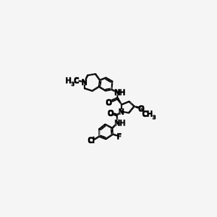 CO[C@@H]1C[C@H](C(=O)Nc2ccc3c(c2)CCN(C)CC3)N(C(=O)Nc2ccc(Cl)cc2F)C1